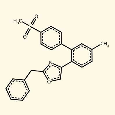 Cc1ccc(-c2coc(Cc3ccccc3)n2)c(-c2ccc(S(C)(=O)=O)cc2)c1